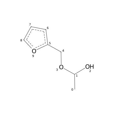 CC(O)OCc1ccco1